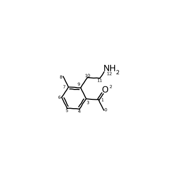 CC(=O)c1cccc(C)c1CCN